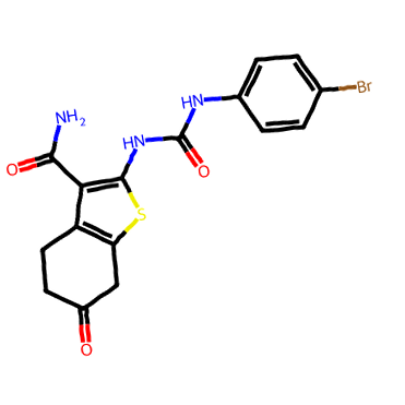 NC(=O)c1c(NC(=O)Nc2ccc(Br)cc2)sc2c1CCC(=O)C2